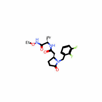 CCONC(=O)[C@@H](NC(=O)C[C@@H]1CCC(=O)N1Cc1cccc(F)c1F)C(C)C